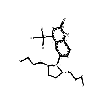 CCCC[C@@H]1CC[C@@H](CCCC)N1c1ccc2[nH]c(=O)cc(C(F)(F)F)c2c1